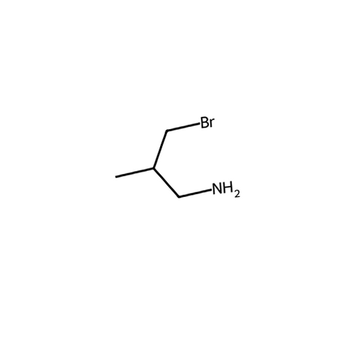 CC(CN)CBr